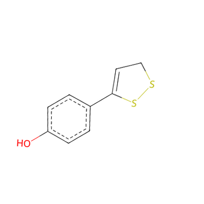 Oc1ccc(C2=CCSS2)cc1